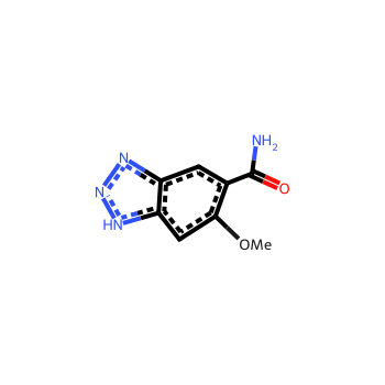 COc1cc2[nH]nnc2cc1C(N)=O